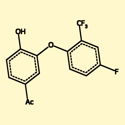 CC(=O)c1ccc(O)c(Oc2ccc(F)cc2C(F)(F)F)c1